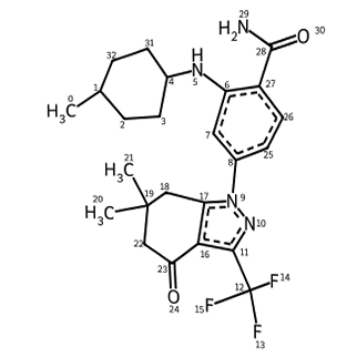 CC1CCC(Nc2cc(-n3nc(C(F)(F)F)c4c3CC(C)(C)CC4=O)ccc2C(N)=O)CC1